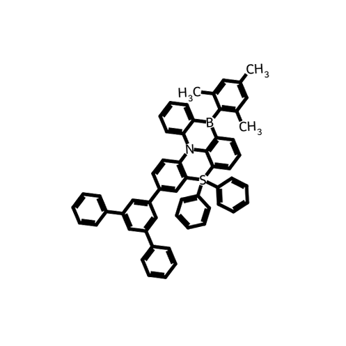 Cc1cc(C)c(B2c3ccccc3N3c4ccc(-c5cc(-c6ccccc6)cc(-c6ccccc6)c5)cc4S(c4ccccc4)(c4ccccc4)c4cccc2c43)c(C)c1